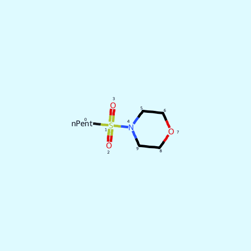 CCCCCS(=O)(=O)N1CCOCC1